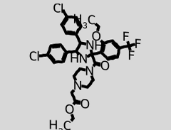 CCOC(=O)CN1CCN(C(=O)C2(c3ccc(C(F)(F)F)cc3OCC)NC(c3ccc(Cl)cc3)C(c3ccc(Cl)cc3)N2)CC1